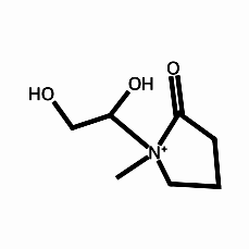 C[N+]1(C(O)CO)CCCC1=O